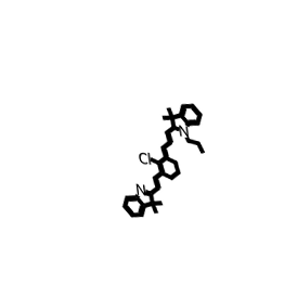 CCCN1c2ccccc2C(C)(C)C1/C=C/C=C1\CCCC(/C=C/C2=Nc3ccccc3C2(C)C)=C1Cl